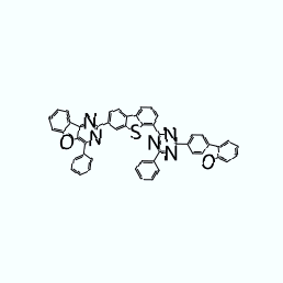 c1ccc(-c2nc(-c3ccc4c(c3)oc3ccccc34)nc(-c3cccc4c3sc3cc(-c5nc(-c6ccccc6)c6oc7ccccc7c6n5)ccc34)n2)cc1